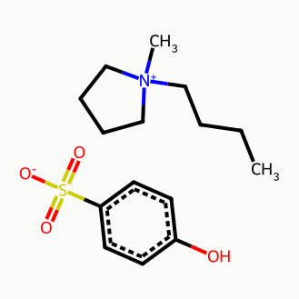 CCCC[N+]1(C)CCCC1.O=S(=O)([O-])c1ccc(O)cc1